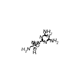 NCP(=O)(O)O.Nc1nc(N)nc(N)n1